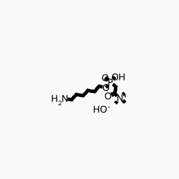 C[N+](C)(C)C(=O)CP(=O)(O)OCCCCCCN.[OH-]